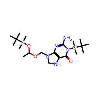 CC(OCN1CNc2c1nc(N)n([Si](C)(C)C(C)(C)C)c2=O)O[Si](C)(C)C(C)(C)C